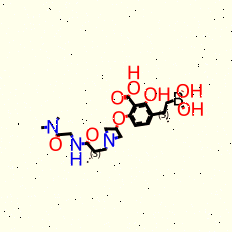 C[C@@H](CN1CC(Oc2ccc([C@@H](C)CB(O)O)c(O)c2C(=O)O)C1)C(=O)NCC(=O)N(C)C